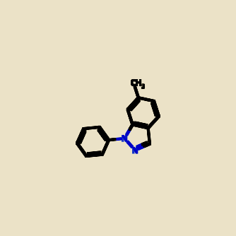 Cc1ccc2cnn(-c3ccccc3)c2c1